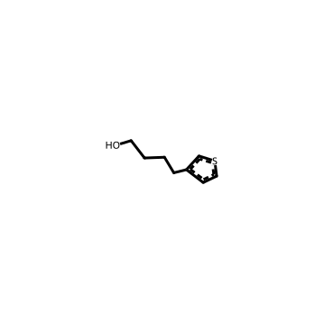 OCCCCc1ccsc1